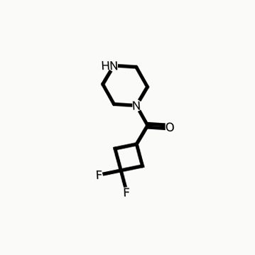 O=C(C1CC(F)(F)C1)N1CCNCC1